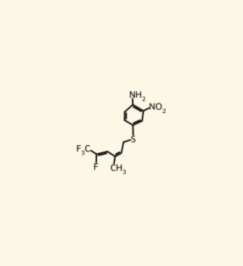 CC(=CCSc1ccc(N)c([N+](=O)[O-])c1)C=C(F)C(F)(F)F